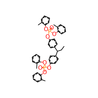 CCC(c1ccc(OP(=O)(Oc2ccccc2C)Oc2ccccc2C)cc1)c1ccc(OP(=O)(Oc2ccccc2C)Oc2ccccc2C)cc1